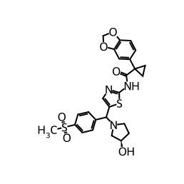 CS(=O)(=O)c1ccc(C(c2cnc(NC(=O)C3(c4ccc5c(c4)OCO5)CC3)s2)N2CC[C@@H](O)C2)cc1